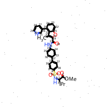 COC(=O)C(NS(=O)(=O)c1ccc(-c2ccc(NC(=O)c3oc4cccc(-c5cccnc5)c4c3C)cc2)cc1)C(C)C